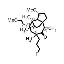 COCO[C@@H]1C[C@@](C)(CCCF)C(=O)[C@H](C)C23CC[C@@H](C)[C@]1(C)C2[C@H](OC)CC3